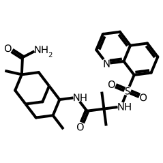 CC1CC2CC(CC(C)(C(N)=O)C2)C1NC(=O)C(C)(C)NS(=O)(=O)c1cccc2cccnc12